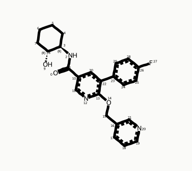 O=C(N[C@@H]1CCCC[C@H]1O)c1cnc(OCc2cccnc2)c(-c2ccc(F)cc2)c1